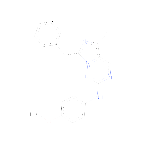 COc1ccc(Nc2ncc3c(C)nc(Cc4ccccc4)n3n2)cc1